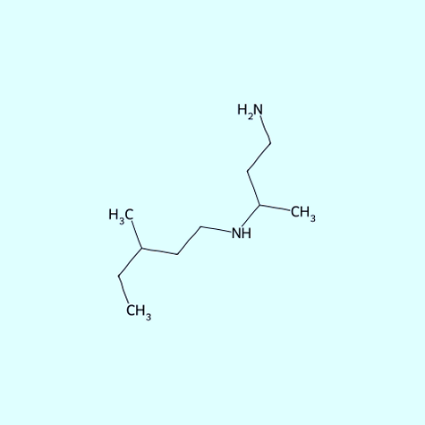 CCC(C)CCNC(C)CCN